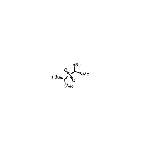 CCCCC(SC)S(=O)(=O)C(CCCC)SC